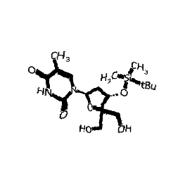 Cc1cn([C@H]2C[C@H](O[Si](C)(C)C(C)(C)C)C(CO)(CO)O2)c(=O)[nH]c1=O